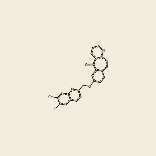 O=c1c2cc(OCc3ccc4cc(F)c(Cl)cc4n3)ccc2ccc2ncccc12